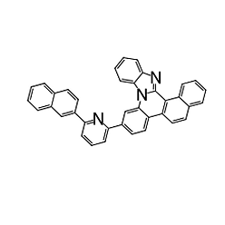 c1cc(-c2ccc3ccccc3c2)nc(-c2ccc3c4ccc5ccccc5c4c4nc5ccccc5n4c3c2)c1